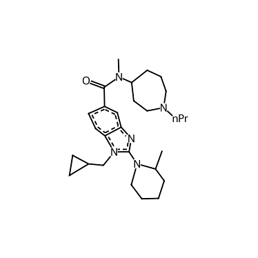 CCCN1CCCC(N(C)C(=O)c2ccc3c(c2)nc(N2CCCCC2C)n3CC2CC2)CC1